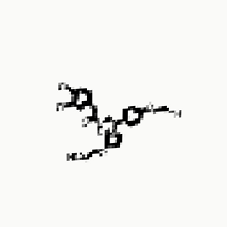 CN(C[C@@H](c1ccc(OCCO)cc1)N1CC[C@H](OCCO)C1)C(=O)Cc1ccc(Cl)c(Cl)c1